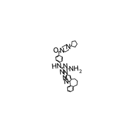 Nc1nc(Nc2ccc(C(=O)N3CCN(C4CCCC4)CC3)cc2)nn1-c1cc2c(nn1)-c1ccccc1CCC2